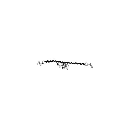 CCCCCCCCCCCCCCCCCC(CCCCCCCCCCCCCCCC)C(C)(C)C.N